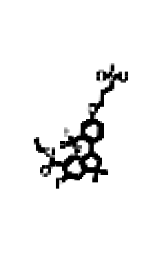 CCOC(=O)c1cc2c(cc1F)C(C)(C)CC2c1ccc(OCCCS(C)(=O)=O)cc1C(F)(F)F